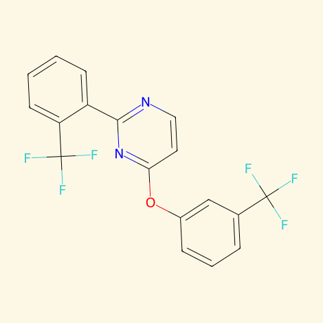 FC(F)(F)c1cccc(Oc2ccnc(-c3ccccc3C(F)(F)F)n2)c1